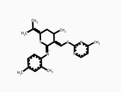 CC(C)=C1CC(C)C(=C\Sc2nccc(C)n2)/C(=N/c2ccc(C)cc2C)S1